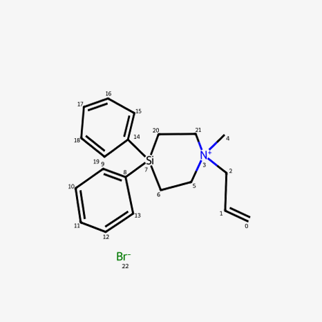 C=CC[N+]1(C)CC[Si](c2ccccc2)(c2ccccc2)CC1.[Br-]